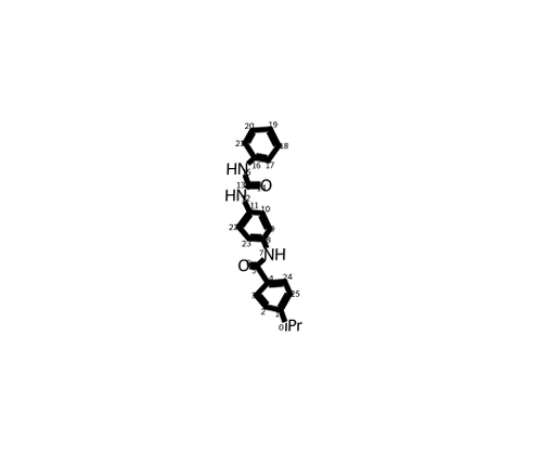 CC(C)c1ccc(C(=O)Nc2ccc(NC(=O)Nc3ccccc3)cc2)cc1